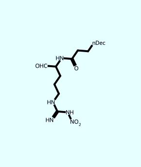 CCCCCCCCCCCCC(=O)NC(C=O)CCCNC(=N)N[N+](=O)[O-]